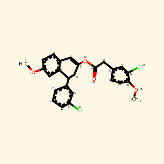 COc1ccc2c(c1)C(c1cccc(Cl)c1)CC(OC(=O)Cc1ccc(OC)c(Cl)c1)=C2